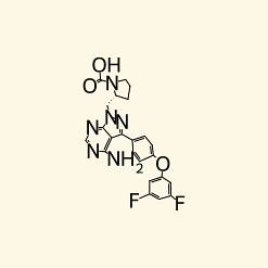 Nc1ncnc2c1c(-c1ccc(Oc3cc(F)cc(F)c3)cc1)nn2C[C@H]1CCCN1C(=O)O